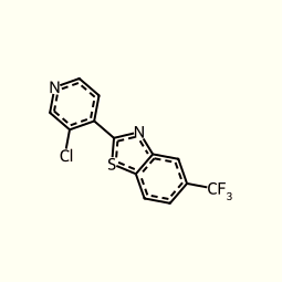 FC(F)(F)c1ccc2sc(-c3ccncc3Cl)nc2c1